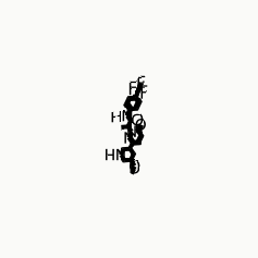 COC1CNCC(c2ccc(=O)n(C(C)C(=O)Nc3ccc(C(F)(F)F)cc3)n2)C1